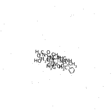 CNC(C(=O)N[C@H](C(=O)N(C)[C@H](CN(C)CC(=O)N(C)CC(=O)O)C(C)C)C(C)(C)C)C(C)(C)c1ccccc1